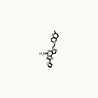 Cc1ccc2c(n1)CCN(CCn1ncc3c1nc(N)n1nc(-c4ccco4)nc31)C2